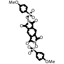 COc1ccc(S(=O)(=O)On2c(=O)c3cc4c(=O)n(OS(=O)(=O)c5ccc(OC)cc5)c(=O)c4cc3c2=O)cc1